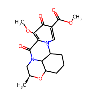 COC(=O)c1cn2c(c(OC)c1=O)C(=O)N1C[C@H](C)OC3CCCC2C31